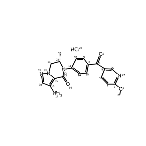 COc1ccc(C(=O)c2ccc(N3C(=O)c4c(N)cnn4C[C@@H]3C)cc2)cn1.Cl